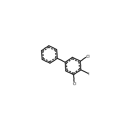 Clc1cc(-c2ccccc2)cc(Cl)c1I